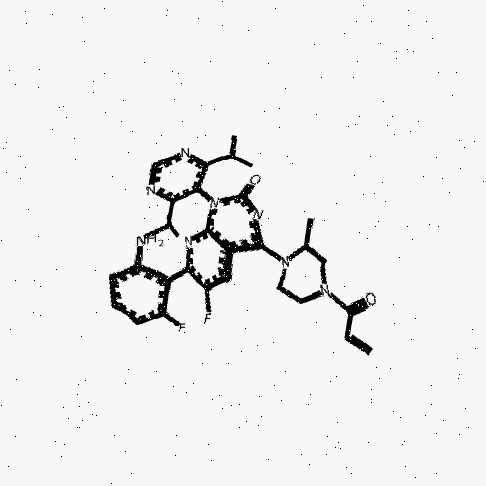 C=CC(=O)N1CCN(c2nc(=O)n(-c3c(C(C)C)ncnc3C(C)C)c3nc(-c4c(N)cccc4F)c(F)cc23)C(C)C1